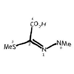 CNN=C(SC)C(=O)O